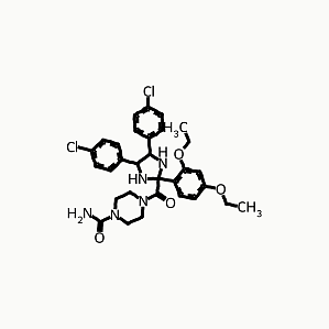 CCOc1ccc(C2(C(=O)N3CCN(C(N)=O)CC3)NC(c3ccc(Cl)cc3)C(c3ccc(Cl)cc3)N2)c(OCC)c1